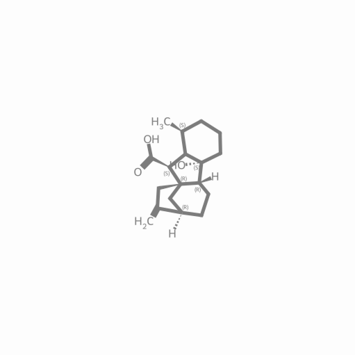 C=C1C[C@]23C[C@H]1CC[C@H]2[C@]1(O)CCC[C@H](C)C1[C@@H]3C(=O)O